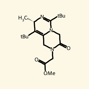 COC(=O)CN1CC2=C(C(C)(C)C)[C@H](C)N=C(C(C)(C)C)N2CC1=O